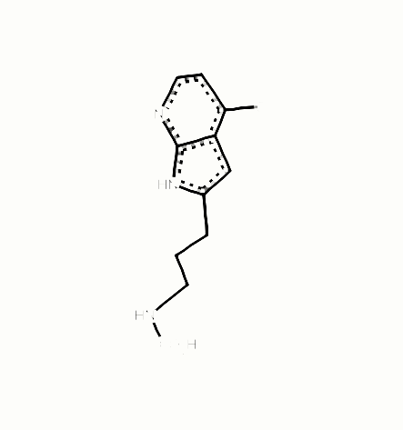 O=C(O)NCCCc1cc2c(Cl)ccnc2[nH]1